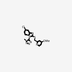 COc1ccnc(CSc2nc3cc(Cl)ccc3n2-c2nnnn2C)c1